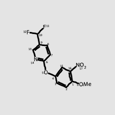 COc1ccc(Oc2ccc(C(F)F)cn2)cc1[N+](=O)[O-]